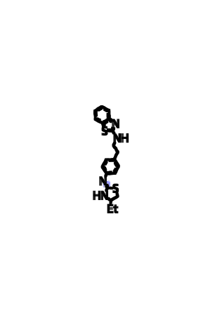 CCC1CS/C(=N\c2ccc(CCNc3nc4ccccc4s3)cc2)N1